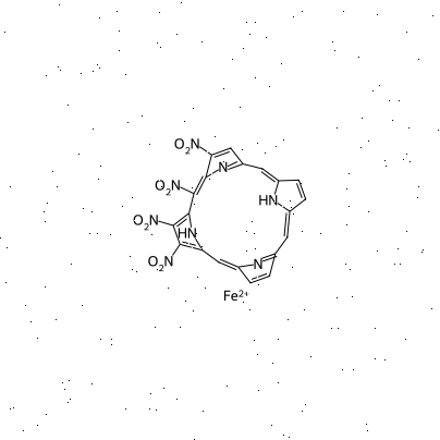 O=[N+]([O-])C1=Cc2cc3ccc(cc4nc(cc5[nH]c(c([N+](=O)[O-])c1n2)c([N+](=O)[O-])c5[N+](=O)[O-])C=C4)[nH]3.[Fe+2]